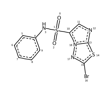 O=S(=O)(Nc1ccccc1)c1cnc2sc(Br)nn12